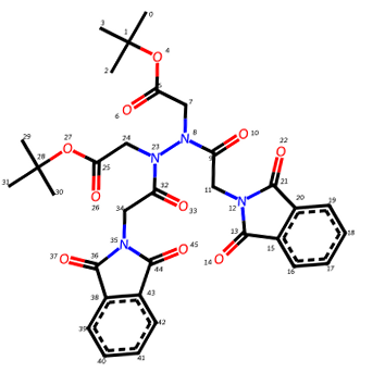 CC(C)(C)OC(=O)CN(C(=O)CN1C(=O)c2ccccc2C1=O)N(CC(=O)OC(C)(C)C)C(=O)CN1C(=O)c2ccccc2C1=O